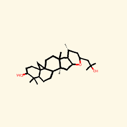 C[C@@H]1CC(CC(C)(C)O)OC2C[C@@]3(C)C4CCC5C(C)(C)C(O)CCC56CC46CCC3(C)C21